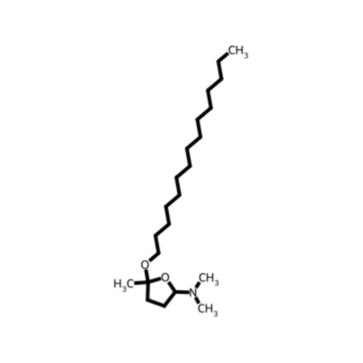 CCCCCCCCCCCCCCCOC1(C)CCC(N(C)C)O1